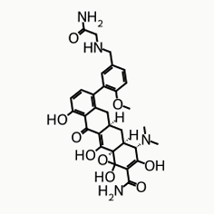 COc1ccc(CNCC(N)=O)cc1-c1ccc(O)c2c1C[C@H]1C[C@H]3[C@H](N(C)C)C(O)=C(C(N)=O)C4(O)O[C@]34C(O)=C1C2=O